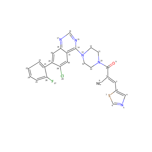 N#C/C(=C\c1cncs1)C(=O)N1CCN(c2ncnc3cc(-c4ccccc4F)c(Cl)cc23)CC1